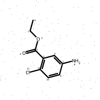 CCOC(=O)c1cc(N)ccc1Cl